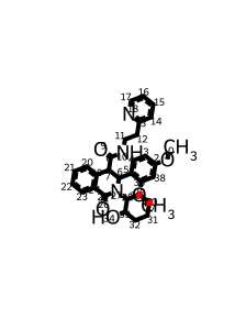 COc1ccc(C2C(C(=O)NCCc3ccccn3)c3ccccc3C(=O)N2C2CCCCC2O)c(OC)c1